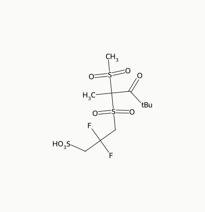 CC(C)(C)C(=O)C(C)(S(C)(=O)=O)S(=O)(=O)CC(F)(F)CS(=O)(=O)O